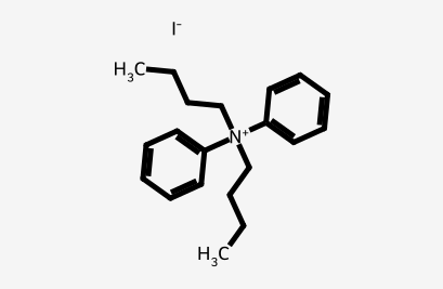 CCCC[N+](CCCC)(c1ccccc1)c1ccccc1.[I-]